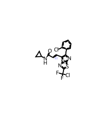 O=C(/C=C/c1c(-c2ccccc2Cl)nc2sc(C(F)(F)Cl)nn12)NC1CC1